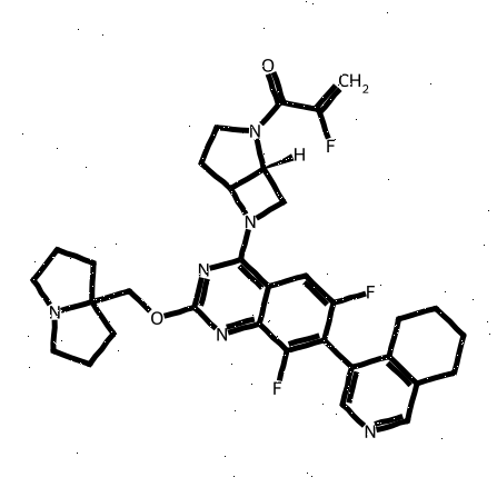 C=C(F)C(=O)N1CCC2[C@H]1CN2c1nc(OCC23CCCN2CCC3)nc2c(F)c(-c3cncc4c3CCCC4)c(F)cc12